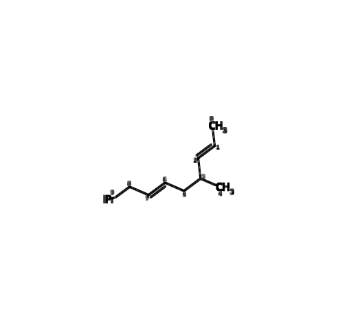 CC=CC(C)CC=CCC(C)C